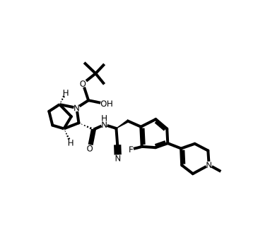 CN1CC=C(c2ccc(C[C@@H](C#N)NC(=O)[C@@H]3[C@H]4CC[C@H](C4)N3C(O)OC(C)(C)C)c(F)c2)CC1